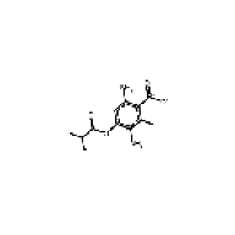 Cc1c(N)c(OC(F)C(F)F)cc(N)c1[N+](=O)[O-]